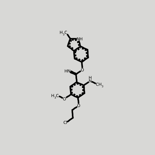 CNc1cc(OCCCl)c(OC)cc1C(=N)Oc1ccc2[nH]c(C)cc2c1